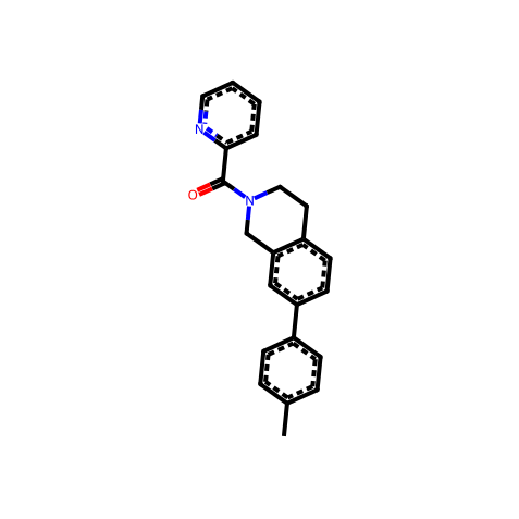 Cc1ccc(-c2ccc3c(c2)CN(C(=O)c2ccccn2)CC3)cc1